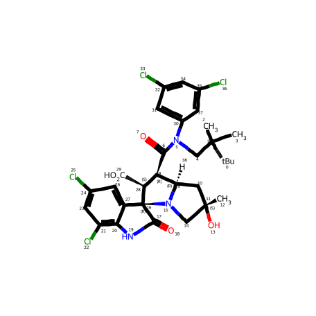 CC(C)(C)C(C)(C)CN(C(=O)[C@H]1[C@H]2C[C@](C)(O)CN2[C@]2(C(=O)Nc3c(Cl)cc(Cl)cc32)[C@H]1C(=O)O)c1cc(Cl)cc(Cl)c1